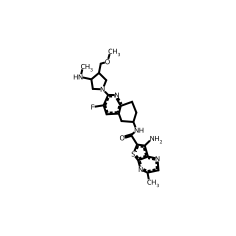 CNC1CN(c2nc3c(cc2F)CC(NC(=O)c2sc4nc(C)cnc4c2N)CC3)CC1COC